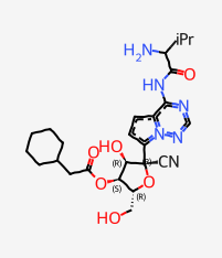 CC(C)C(N)C(=O)Nc1ncnn2c([C@]3(C#N)O[C@H](CO)[C@@H](OC(=O)CC4CCCCC4)[C@H]3O)ccc12